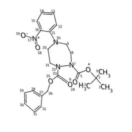 CC(C)(C)OC(=O)N1CCN(c2ccccc2[N+](=O)[O-])CCN1C(=O)OCc1ccccc1